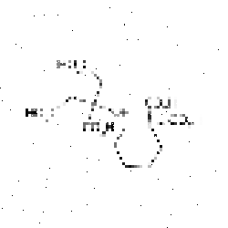 O=C(O)C1(C(=O)O)CCCCC1.O=C(O)CC(O)(CC(=O)O)C(=O)O